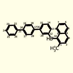 Cc1ccc2ccccc2c1Bc1cccc(-c2ccc(-c3ccccc3)cc2)c1